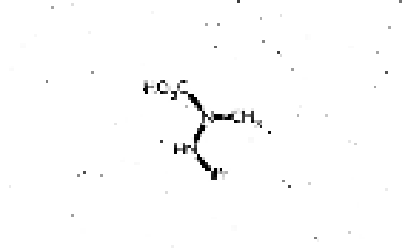 CC(C)NN(C)C(=O)O